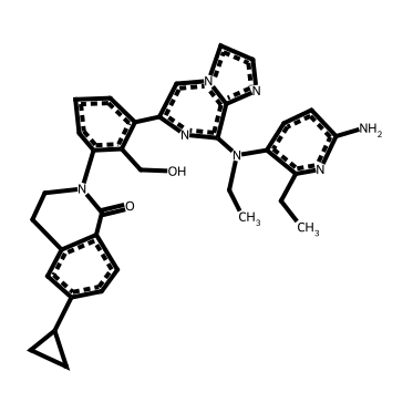 CCc1nc(N)ccc1N(CC)c1nc(-c2cccc(N3CCc4cc(C5CC5)ccc4C3=O)c2CO)cn2ccnc12